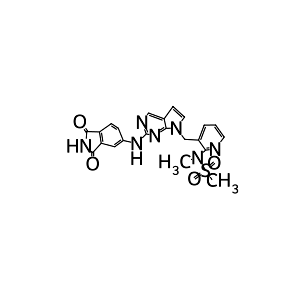 CN(c1ncccc1Cn1ccc2cnc(Nc3ccc4c(c3)C(=O)NC4=O)nc21)S(C)(=O)=O